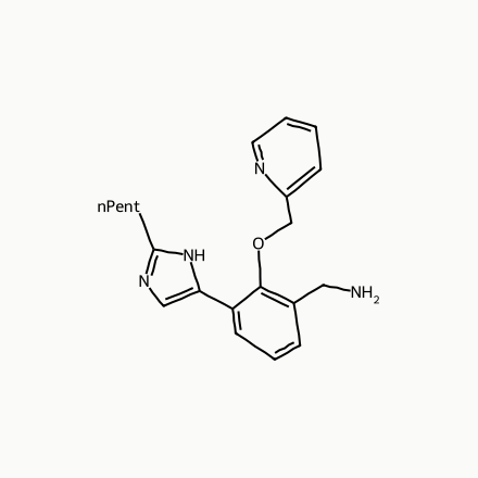 CCCCCc1ncc(-c2cccc(CN)c2OCc2ccccn2)[nH]1